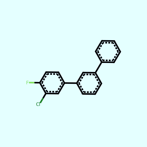 Fc1ccc(-c2[c]ccc(-c3ccccc3)c2)cc1Cl